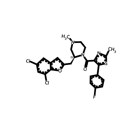 Cc1nc(C(=O)N2CCN(C)C[C@@H]2Cc2cc3cc(Cl)cc(Cl)c3o2)c(-c2ccc(F)cc2)s1